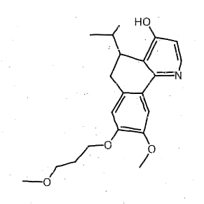 COCCCOc1cc2c(cc1OC)-c1nccc(O)c1C(C(C)C)C2